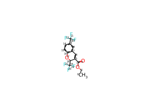 CCOC(=O)C1=Cc2cc(C(F)(F)F)ccc2OC1C(F)(F)F